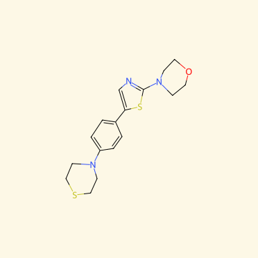 c1cc(N2CCSCC2)ccc1-c1cnc(N2CCOCC2)s1